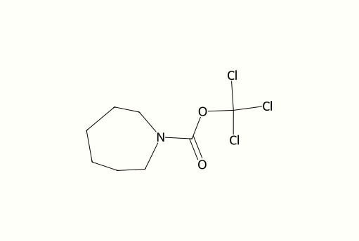 O=C(OC(Cl)(Cl)Cl)N1CCCCCC1